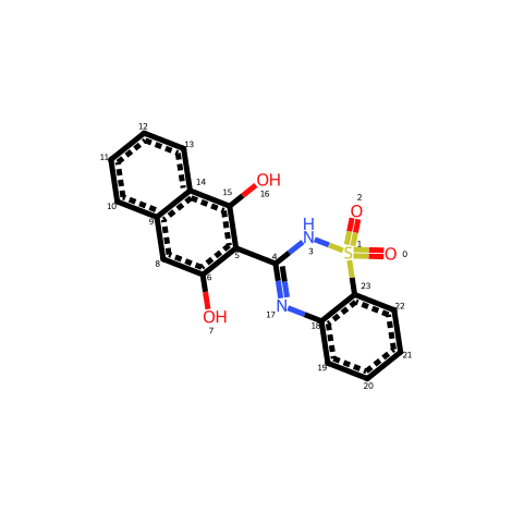 O=S1(=O)NC(c2c(O)cc3ccccc3c2O)=Nc2ccccc21